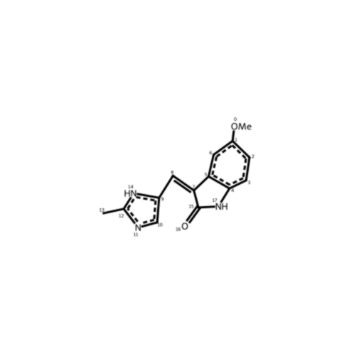 COc1ccc2c(c1)C(=Cc1cnc(C)[nH]1)C(=O)N2